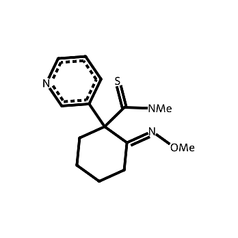 CNC(=S)C1(c2cccnc2)CCCCC1=NOC